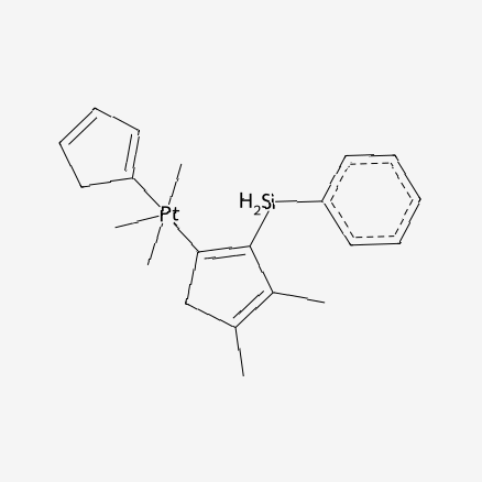 CC1=C(C)C([SiH2]c2ccccc2)=[C]([Pt]([CH3])([CH3])([CH3])[C]2=CC=CC2)C1